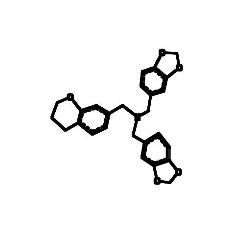 c1cc2c(cc1CN(Cc1ccc3c(c1)OCO3)Cc1ccc3c(c1)OCO3)OCCC2